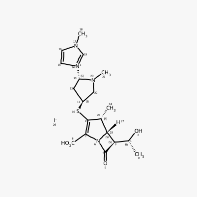 C[C@@H](O)[C@H]1C(=O)N2C(C(=O)O)=C(S[C@H]3C[C@H]([n+]4ccn(C)c4)N(C)C3)[C@H](C)[C@H]12.[I-]